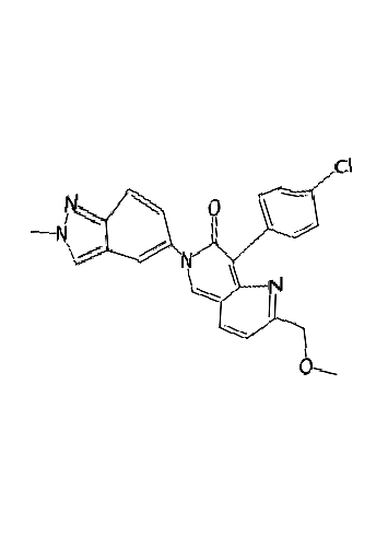 COCc1ccc2cn(-c3ccc4nn(C)cc4c3)c(=O)c(-c3ccc(Cl)cc3)c2n1